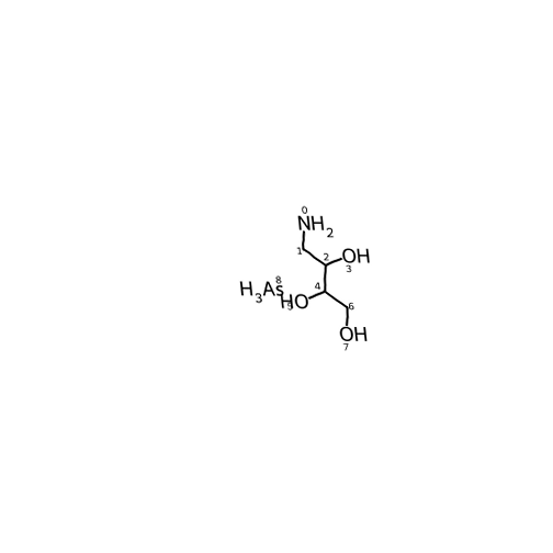 NCC(O)C(O)CO.[AsH3]